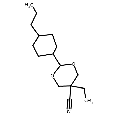 CCCC1CCC(C2OCC(C#N)(CC)CO2)CC1